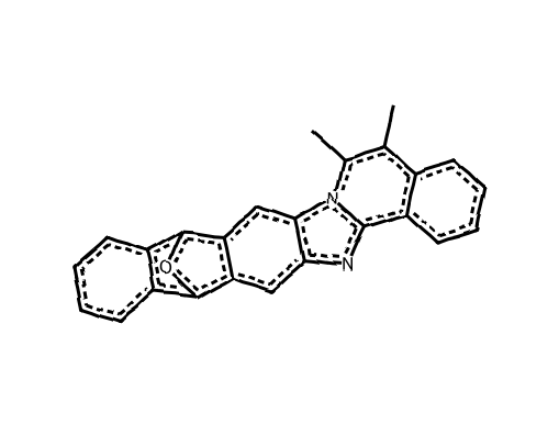 Cc1c(C)n2c3cc4c(cc3nc2c2ccccc12)c1oc4c2ccccc21